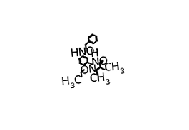 CCCOc1ccc(NC(=O)Cc2ccccc2)cc1-c1nc(CC)c(CC)c(=O)[nH]1